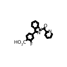 O=C(O)c1ccc(-c2nn(C(=O)c3ccccn3)c3ccccc23)cc1F